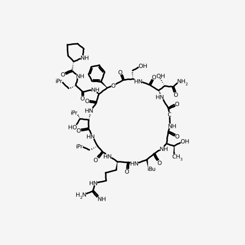 CC[C@H](C)C1NC(=O)[C@@H](CCCNC(=N)N)NC(=O)[C@H](CC(C)C)NC(=O)[C@H]([C@H](O)C(C)C)NC(=O)[C@@H](NC(=O)[C@H](CC(C)C)NC(=O)[C@@H]2CCCCN2)[C@@H](c2ccccc2)OC(=O)[C@H](CO)NC(=O)[C@H]([C@H](O)C(N)=O)NC(=O)CNC(=O)C([C@H](C)O)NC1=O